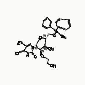 CCc1cn([C@@H]2O[C@H](CO[Si](c3ccccc3)(c3ccccc3)C(C)(C)C)[C@@H](O)[C@H]2OCCO)c(=O)[nH]c1=O